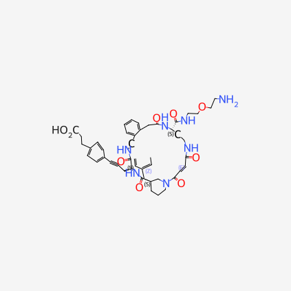 C=C/C(=C\C)C[C@@]12CCCN(C1)C(=O)/C=C/C(=O)NCC[C@@H](C(=O)NCCOCCN)NC(=O)Cc1ccccc1CNC(=O)[C@H](CC#Cc1ccc(CCC(=O)O)cc1)NC2=O